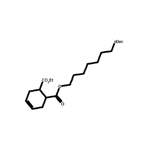 CCCCCCCCCCCCCCCCCOC(=O)C1CC=CCC1C(=O)OCC